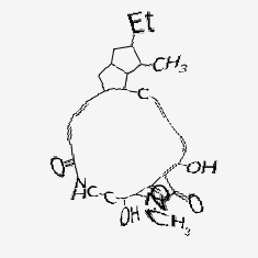 CCC1CC2CC3C=CC=CC(=O)NCCC(O)C4C(=O)C(=C(O)C=CC=CCC3C2C1C)C(=O)N4C